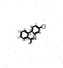 Cc1nc2cc(Cl)ccc2c2ccccc12